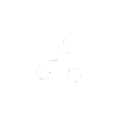 O=C1CC(=CCc2ccccc2)C(=O)O1.c1ccccc1